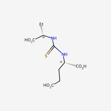 CC[C@H](NC(=S)N[C@@H](CCC(=O)O)C(=O)O)C(=O)O